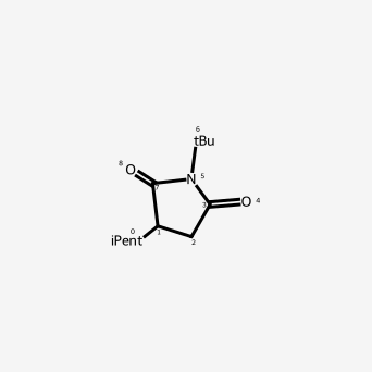 CCCC(C)C1CC(=O)N(C(C)(C)C)C1=O